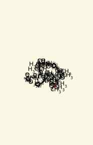 CC[C@H](C)[C@@H]([C@@H](CC(=O)N1CCC[C@H]1[C@@H](CC(=O)NCCc1ccccc1)OC)OC)N(C)C(=O)CNC(=O)C(C(C)C)N(C)C(=O)OCc1ccc(NC(=O)CNC(=O)C(NC(=O)C(C)(C)COC(C)CCNC(=O)CCN2C(=O)C=CC2=O)C(C)C)cc1